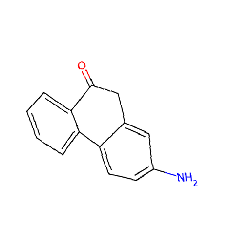 Nc1ccc2c(c1)CC(=O)c1ccccc1-2